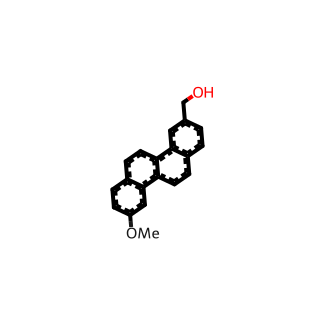 COc1ccc2ccc3c4cc(CO)ccc4ccc3c2c1